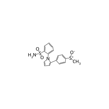 C[S+]([O-])c1ccc(-c2cccn2-c2ccccc2S(N)(=O)=O)cc1